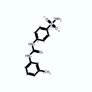 Cc1cccc(NC(=O)Nc2ccc(S(N)(=O)=O)cc2)c1